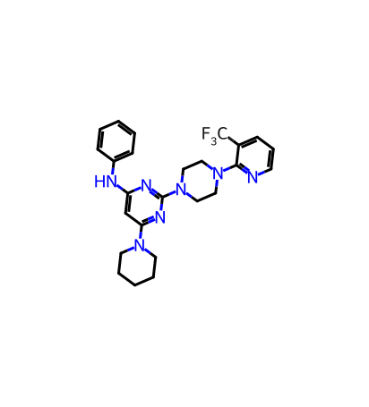 FC(F)(F)c1cccnc1N1CCN(c2nc(Nc3ccccc3)cc(N3CCCCC3)n2)CC1